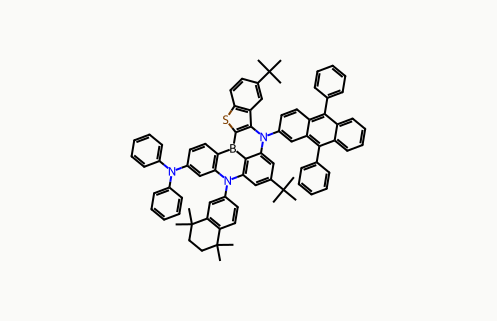 CC(C)(C)c1cc2c3c(c1)N(c1ccc4c(-c5ccccc5)c5ccccc5c(-c5ccccc5)c4c1)c1c(sc4ccc(C(C)(C)C)cc14)B3c1ccc(N(c3ccccc3)c3ccccc3)cc1N2c1ccc2c(c1)C(C)(C)CCC2(C)C